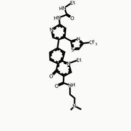 CCNC(=O)Nc1cc(-c2nc(C(F)(F)F)cs2)c(-c2ccc3c(=O)c(C(=O)NCCN(C)C)cn(CC)c3c2)cn1